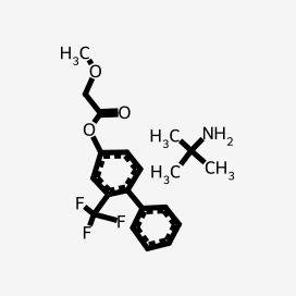 CC(C)(C)N.COCC(=O)Oc1ccc(-c2ccccc2)c(C(F)(F)F)c1